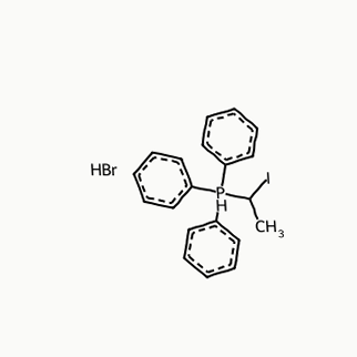 Br.CC(I)[PH](c1ccccc1)(c1ccccc1)c1ccccc1